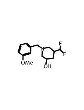 COc1cccc(CN2CC(O)CC(C(F)F)C2)c1